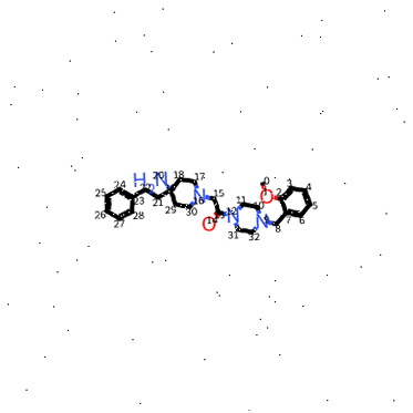 COc1ccccc1CN1CCN(C(=O)CN2CCC(N)(CCc3ccccc3)CC2)CC1